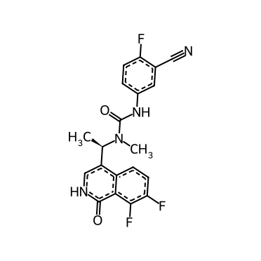 C[C@H](c1c[nH]c(=O)c2c(F)c(F)ccc12)N(C)C(=O)Nc1ccc(F)c(C#N)c1